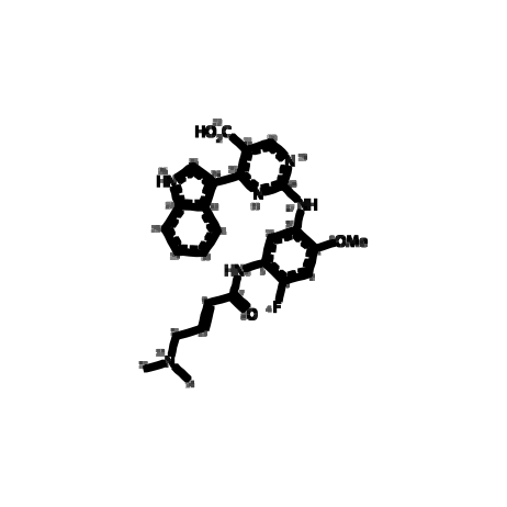 COc1cc(F)c(NC(=O)/C=C/CN(C)C)cc1Nc1ncc(C(=O)O)c(-c2c[nH]c3ccccc23)n1